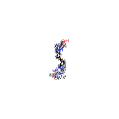 COC(=O)N[C@H](C(=O)N1CCC[C@H]1c1nc2ccc(C#Cc3ccc(-c4cnc([C@H]5CCCN5C(=O)[C@@H](NC(=O)CO)C(C)C)[nH]4)cc3)cc2[nH]1)C(C)C